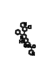 O=C(NCc1cc2cc(-c3cc(Cl)c4ncccc4c3)c(-c3ccccc3)nc2[nH]c1=O)c1cccnc1